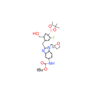 CC1OB(c2cc(CO)c(Cc3nc4cc(NC(=O)OC(C)(C)C)ccc4n3C[C@@H]3CCO3)cc2F)OC1(C)C